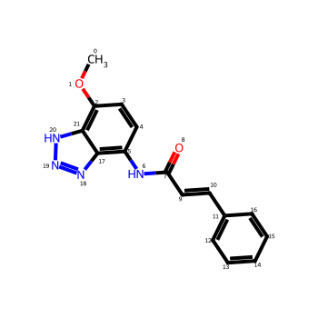 COc1ccc(NC(=O)C=Cc2ccccc2)c2nn[nH]c12